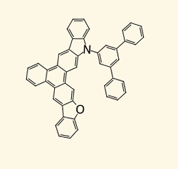 c1ccc(-c2cc(-c3ccccc3)cc(-n3c4ccccc4c4cc5c6ccccc6c6cc7c(cc6c5cc43)oc3ccccc37)c2)cc1